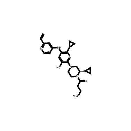 C=Cc1cc(Nc2cc(C#N)c(N3CCN(C(=O)CCOC)[C@H](C4CC4)C3)nc2C2CC2)ccn1